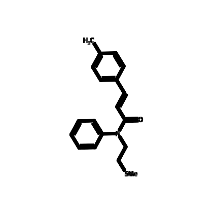 CSCCN(C(=O)/C=C/c1ccc(C)cc1)c1ccccc1